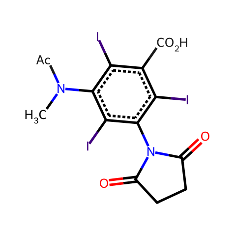 CC(=O)N(C)c1c(I)c(C(=O)O)c(I)c(N2C(=O)CCC2=O)c1I